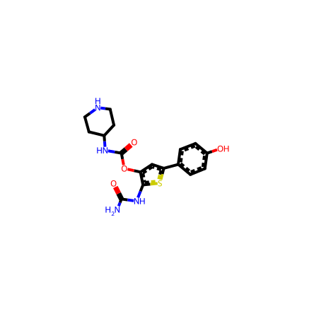 NC(=O)Nc1sc(-c2ccc(O)cc2)cc1OC(=O)NC1CCNCC1